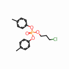 Cc1ccc(OP(=O)(OCCCCl)Oc2ccc(C)cc2)cc1